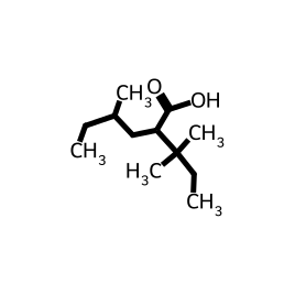 CCC(C)CC(C(=O)O)C(C)(C)CC